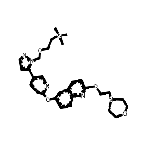 C[Si](C)(C)CCOCn1nccc1-c1ccc(Oc2ccc3nc(OCCN4CCOCC4)ccc3c2)nc1